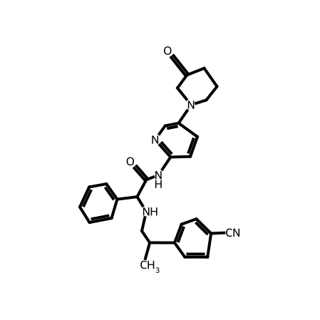 CC(CNC(C(=O)Nc1ccc(N2CCCC(=O)C2)cn1)c1ccccc1)c1ccc(C#N)cc1